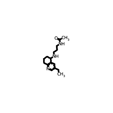 CCc1cnc2c(c1)C(NCCCNC(C)=O)CCC2